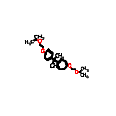 CC(C)OCCOC1=CC=C(C(C)(C)c2ccc(OCCOC(C)C)cc2)C=CC1